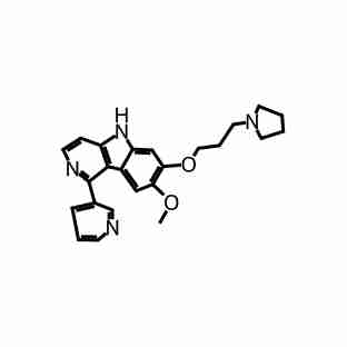 COc1cc2c(cc1OCCCN1CCCC1)[nH]c1ccnc(-c3cccnc3)c12